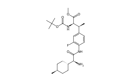 COC(=O)[C@H](NC(=O)OC(C)(C)C)[C@@H](C)c1ccc(NC(=O)[C@@H](N)[C@H]2CC[C@H](C)CC2)c(F)c1